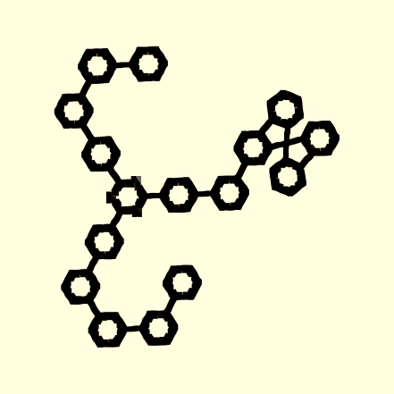 c1ccc(-c2cccc(-c3cccc(-c4ccc(-c5nc(-c6ccc(-c7cccc(-c8cccc(-c9cccc(-c%10ccccc%10)c9)c8)c7)cc6)nc(-c6ccc(-c7cccc(-c8ccc9c(c8)C8(c%10ccccc%10-c%10ccccc%108)c8ccccc8-9)c7)cc6)n5)cc4)c3)c2)cc1